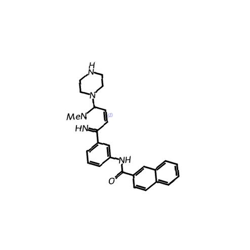 CNC(/C=C\C(=N)c1cccc(NC(=O)c2ccc3ccccc3c2)c1)N1CCNCC1